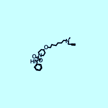 C#CCN(C)CCCCCCOC1CCN(S(=O)(=O)Nc2ccccc2)CC1